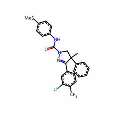 CSc1ccc(NC(=O)N2CC(C)(c3ccccc3)C(c3ccc(C(F)(F)F)c(Cl)c3)=N2)cc1